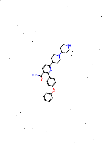 NC(=O)c1ccc(C2CCN(C3CCNCC3)CC2)nc1-c1ccc(Oc2ccccc2)cc1